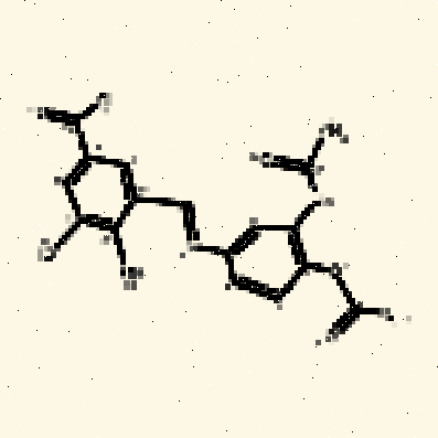 CC(=O)Oc1ccc(N=Cc2cc(C(=O)O)cc(O)c2O)cc1OC(C)=O